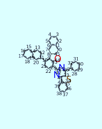 C1=c2ccccc2=CC2c3c(-c4ccc5ccccc5c4)ccc(-c4nc(-c5ccccc5)c5sc6ccccc6c5n4)c3OC12